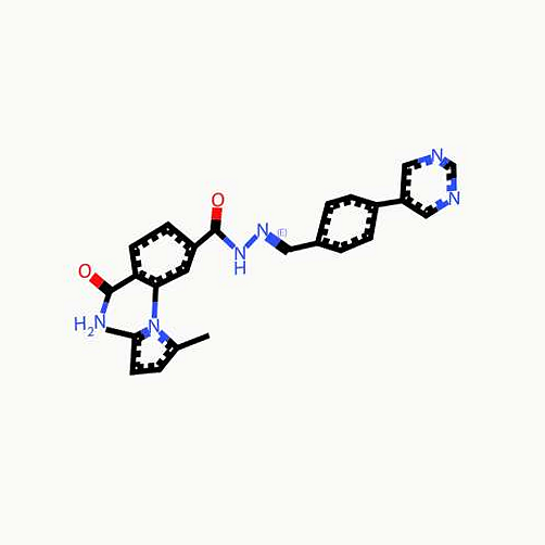 Cc1ccc(C)n1-c1cc(C(=O)N/N=C/c2ccc(-c3cncnc3)cc2)ccc1C(N)=O